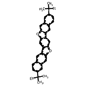 CCC(C)(C)c1ccc2cc3c(cc2c1)oc1cc2c(cc13)oc1cc3cc(C(C)(C)CC)ccc3cc12